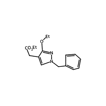 CCOC(=O)Cc1cn(Cc2ccccc2)nc1OCC